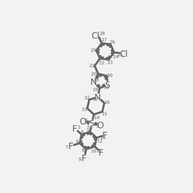 O=S(=O)(c1c(F)c(F)c(F)c(F)c1F)C1CCN(c2nc(Cc3cc(Cl)cc(Cl)c3)cs2)CC1